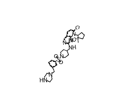 CC1(O)CCCC1n1c(=O)ccc2cnc(NC3CCN(S(=O)(=O)c4cccc(CN5CCNCC5)c4)CC3)nc21